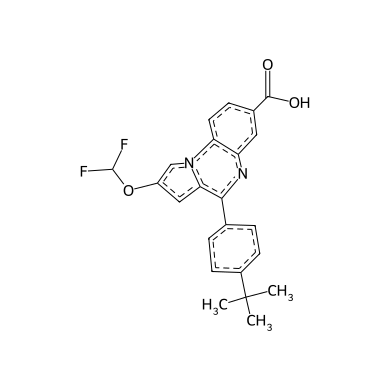 CC(C)(C)c1ccc(-c2nc3cc(C(=O)O)ccc3n3cc(OC(F)F)cc23)cc1